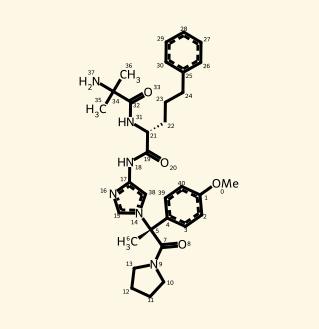 COc1ccc([C@](C)(C(=O)N2CCCC2)n2cnc(NC(=O)[C@@H](CCCc3ccccc3)NC(=O)C(C)(C)N)c2)cc1